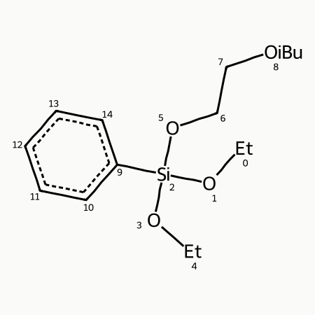 CCO[Si](OCC)(OCCOCC(C)C)c1ccccc1